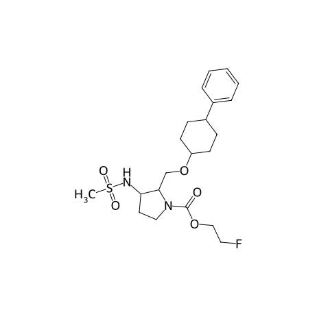 CS(=O)(=O)NC1CCN(C(=O)OCCF)C1COC1CCC(c2ccccc2)CC1